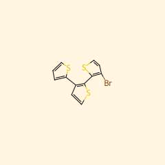 Brc1ccsc1-c1sccc1-c1cccs1